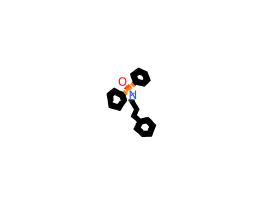 O=P(/N=C/CCc1ccccc1)(c1ccccc1)c1ccccc1